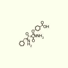 N[C@@H](Cc1ccccc1)C(=O)[C@H]1C(=O)N(N)[C@H]1Oc1ccc(C(=O)O)cc1